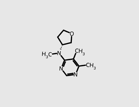 Cc1ncnc(N(C)[C@@H]2CCOC2)c1C